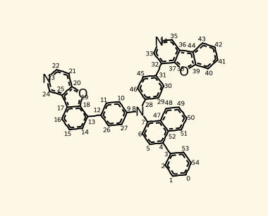 c1ccc(-c2ccc(N(c3ccc(-c4cccc5c4oc4ccncc45)cc3)c3ccc(-c4cncc5c4oc4ccccc45)cc3)c3ccccc23)cc1